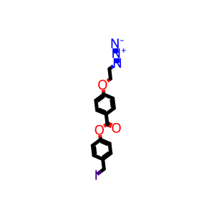 [N-]=[N+]=NCCOc1ccc(C(=O)Oc2ccc(CI)cc2)cc1